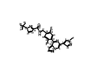 Cn1cc(-c2cn3nccc3c(-c3cc(F)c(CNC(=O)c4ccn(C(C)(C)C)n4)cc3F)n2)cn1